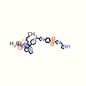 C=C/C=C(F)\C=C(/C)[C@](CN1CCC1)(C1CCN(CC2CN(c3ccc(S(=O)(=O)C4CN(CC5CCN5)C4)cc3)C2)CC1)[C@H]1CCC[C@@H]1NC(=O)OC